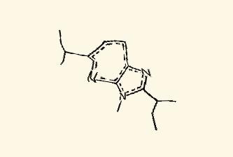 CC(C)c1ccc2nc(C(C)C)n(C)c2n1